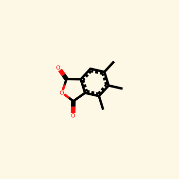 Cc1cc2c(c(C)c1C)C(=O)OC2=O